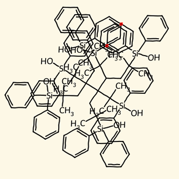 CC(C)(CC(C(CC(C)(C)[Si](O)(c1ccccc1)c1ccccc1)(C(CC(C)(C)[Si](O)(c1ccccc1)c1ccccc1)(CC(C)(C)[Si](O)(c1ccccc1)c1ccccc1)C(C)(C)[Si](O)(c1ccccc1)c1ccccc1)C(C)(C)[Si](O)(c1ccccc1)c1ccccc1)C(C)(C)[Si](O)(c1ccccc1)c1ccccc1)[Si](O)(c1ccccc1)c1ccccc1